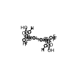 CC1=C(C(=O)OCCO)C(c2ccc(C#N)cc2)N(CC(=O)N2CCN(CCN3CCN(C(=O)CN4C(=O)N(c5cccc(C(F)(F)F)c5)C(C)=C(C(=O)OCCO)C4c4ccc(C#N)cc4)CC3)CC2)C(=O)N1c1cccc(C(F)(F)F)c1